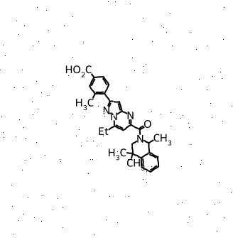 CCc1cc(C(=O)N2CC(C)(C)c3ccccc3C2C)nc2cc(-c3ccc(C(=O)O)cc3C)nn12